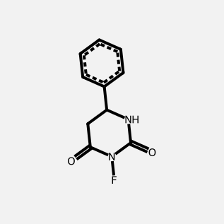 O=C1CC(c2ccccc2)NC(=O)N1F